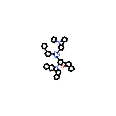 c1ccc(-c2cccc(-c3nc(-c4cc(-n5c6cc7ccccc7cc6c6c7ccccc7ccc65)c5oc6c7ccccc7ccc6c5c4)nc(-c4ccc5c6ccccc6n(-c6ccccc6)c5c4)n3)c2)cc1